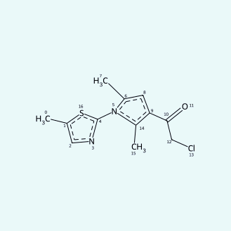 Cc1cnc(-n2c(C)cc(C(=O)CCl)c2C)s1